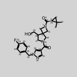 CC1(C)C[C@@H]1C(=O)N1CC2(CN(C(=O)c3cnn(Cc4ccc(F)cc4)c3)CC2CO)C1